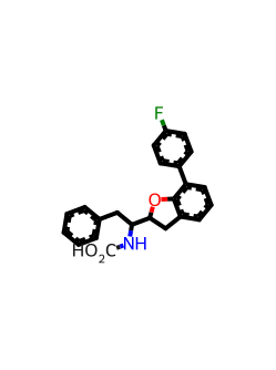 O=C(O)NC(Cc1ccccc1)C1Cc2cccc(-c3ccc(F)cc3)c2O1